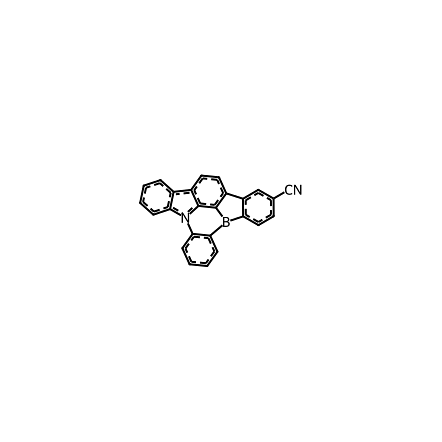 N#Cc1ccc2c(c1)-c1ccc3c4ccccc4n4c3c1B2c1ccccc1-4